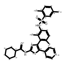 O=C(Nc1nc(-c2c(F)ccc(NS(=O)(=O)c3cc(F)ccc3F)c2F)c(-c2ccncc2)s1)C1CCCCC1